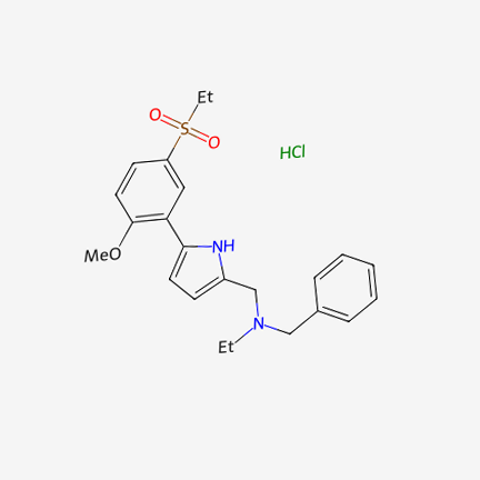 CCN(Cc1ccccc1)Cc1ccc(-c2cc(S(=O)(=O)CC)ccc2OC)[nH]1.Cl